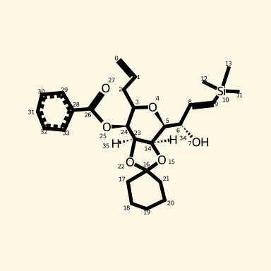 C=CCC1O[C@@H]([C@@H](O)/C=C/[Si](C)(C)C)[C@H]2OC3(CCCCC3)O[C@H]2[C@H]1OC(=O)c1ccccc1